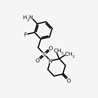 CC1(C)CC(=O)CCN1S(=O)(=O)Cc1cccc(N)c1F